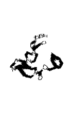 CC(C)(C)OC(=O)N1CCN(c2ncnc3c2CN(C(=O)OCc2ccccc2)CC3)CC1